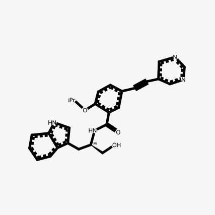 CC(C)Oc1ccc(C#Cc2cncnc2)cc1C(=O)N[C@@H](CO)Cc1c[nH]c2ccccc12